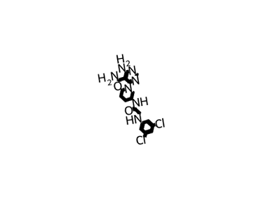 NC(=O)c1c(N)ncnc1N1CCC[C@@H](NC(=O)CNc2cc(Cl)cc(Cl)c2)C1